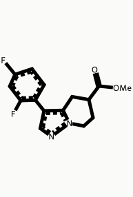 COC(=O)C1CCn2ncc(-c3ccc(F)cc3F)c2C1